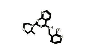 CC1COCCN1c1nc(NCc2cccnc2C(F)(F)F)c2cccnc2n1